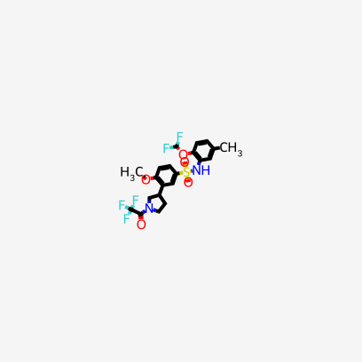 COc1ccc(S(=O)(=O)Nc2cc(C)ccc2OC(F)F)cc1C1CCN(C(=O)C(F)(F)F)C1